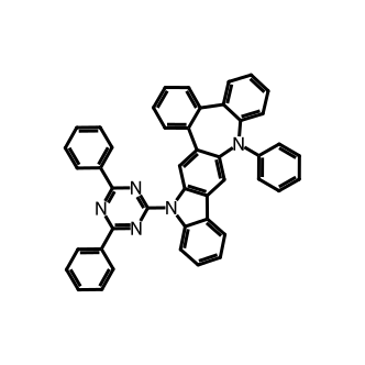 c1ccc(-c2nc(-c3ccccc3)nc(-n3c4ccccc4c4cc5c(cc43)-c3ccccc3-c3ccccc3N5c3ccccc3)n2)cc1